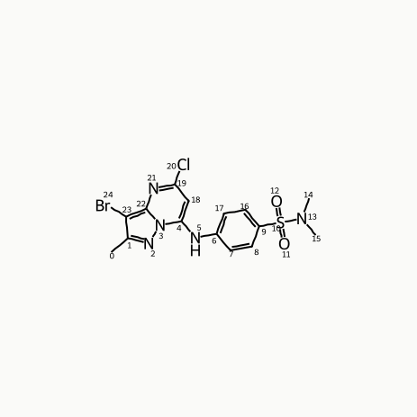 Cc1nn2c(Nc3ccc(S(=O)(=O)N(C)C)cc3)cc(Cl)nc2c1Br